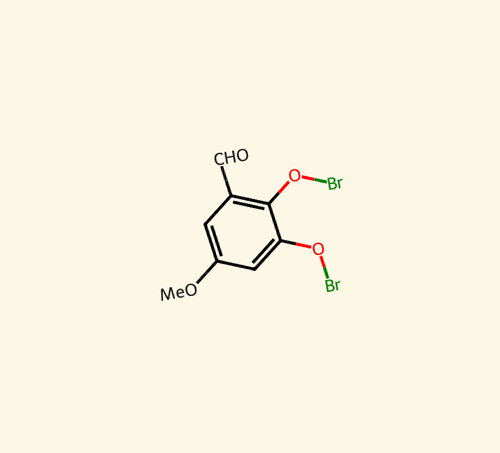 COc1cc(C=O)c(OBr)c(OBr)c1